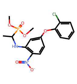 COP(=O)(OC)C(C)Nc1cc(Oc2ccccc2Cl)ccc1[N+](=O)[O-]